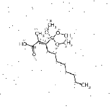 CCCCCCCCC(=C(C)C(=O)O)[Si](OC)(OC)OC